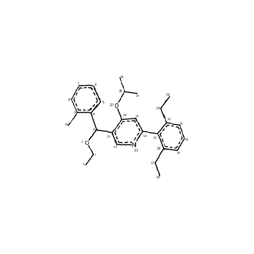 CCOC(c1ccccc1C)c1cnc(-c2c(CC)cccc2CC)cc1OC(C)C